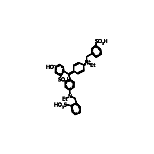 CCN(Cc1ccccc1S(=O)(=O)O)c1ccc(C(=C2C=CC(=[N+](CC)Cc3cccc(S(=O)(=O)O)c3)C=C2)c2ccccc2S(=O)(=O)O)cc1.[OH-]